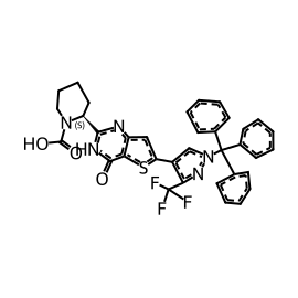 O=C(O)N1CCCC[C@H]1c1nc2cc(-c3cn(C(c4ccccc4)(c4ccccc4)c4ccccc4)nc3C(F)(F)F)sc2c(=O)[nH]1